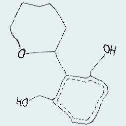 Oc1cccc(O)c1C1CCCCO1